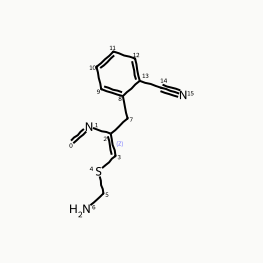 C=N/C(=C\SCN)Cc1ccccc1C#N